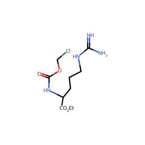 CCOC(=O)C(CCCNC(=N)N)NC(=O)OCCl